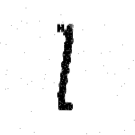 CCCCOCCOCCOCCOCCOCCOCCOCCOCCOCCOCCOCCOCCOCCn1cnc(CN2C(=O)C=CC2=O)c1